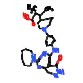 CC(C(=O)O)C(C)C1CCN(c2ccc(Nc3nc(N4CCCCCC4)nc4cn[nH]c(=O)c34)cc2)CC1